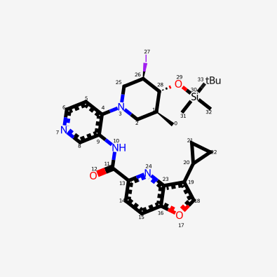 C[C@H]1CN(c2ccncc2NC(=O)c2ccc3occ(C4CC4)c3n2)C[C@@H](I)[C@@H]1O[Si](C)(C)C(C)(C)C